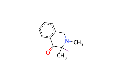 CN1Cc2ccccc2C(=O)C1(C)I